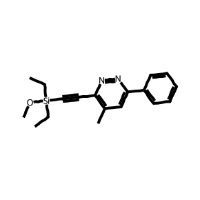 CC[Si](C#Cc1nnc(-c2ccccc2)cc1C)(CC)OC